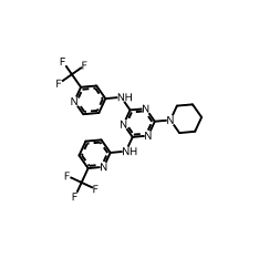 FC(F)(F)c1cc(Nc2nc(Nc3cccc(C(F)(F)F)n3)nc(N3CCCCC3)n2)ccn1